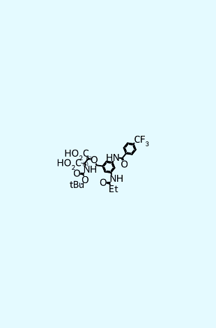 CCC(=O)Nc1cc(CO[C@H](C(=O)O)[C@H](NC(=O)OC(C)(C)C)C(=O)O)cc(NC(=O)c2ccc(C(F)(F)F)cc2)c1